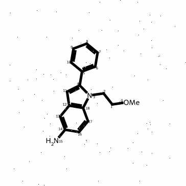 COCCn1c(-c2ccccc2)cc2cc(N)ccc21